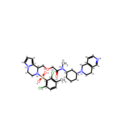 Cc1ccc(Cl)c(S(=O)(=O)N2CCn3cccc3C2COCC(=O)N(C)[C@@H]2CCC[C@H](N3CCc4cnccc4C3)C2)c1Cl